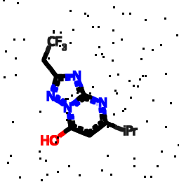 CC(C)c1cc(O)n2nc(CC(F)(F)F)nc2n1